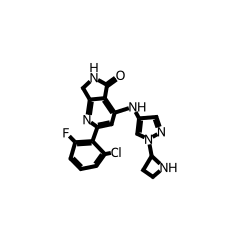 O=C1NCc2nc(-c3c(F)cccc3Cl)cc(Nc3cnn(C4CCN4)c3)c21